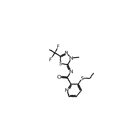 CCSc1cccnc1C(=O)/N=c1\sc(C(C)(F)F)nn1C